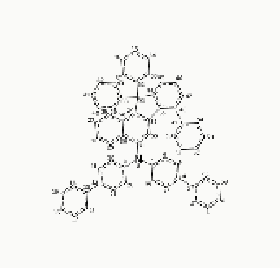 c1ccc(-c2ccc(N(c3ccc(-c4ccccc4)cc3)c3cc4c(c5ccccc35)C(c3ccccc3)(c3ccccc3)c3cccc(-c5ccccc5)c3-4)cc2)cc1